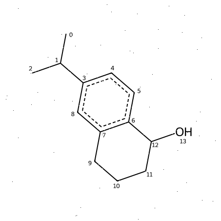 CC(C)c1ccc2c(c1)CCCC2O